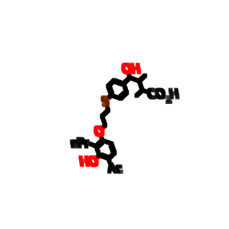 CCCc1c(OCCCSc2ccc(C(O)C(C)C(C)C(=O)O)cc2)ccc(C(C)=O)c1O